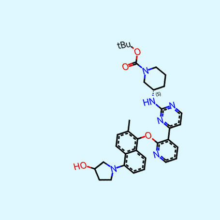 Cc1ccc2c(N3CCC(O)C3)cccc2c1Oc1ncccc1-c1ccnc(N[C@H]2CCCN(C(=O)OC(C)(C)C)C2)n1